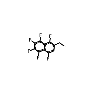 [CH2]Cc1cc(F)c2c(F)c(F)c(F)c(F)c2c1F